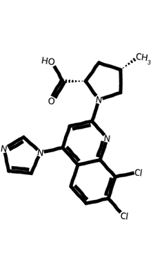 C[C@H]1C[C@@H](C(=O)O)N(c2cc(-n3ccnc3)c3ccc(Cl)c(Cl)c3n2)C1